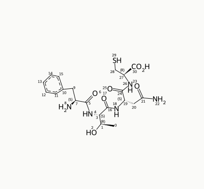 C[C@@H](O)[C@H](NC(=O)[C@@H](N)Cc1ccccc1)C(=O)N[C@@H](CC(N)=O)C(=O)N[C@@H](CS)C(=O)O